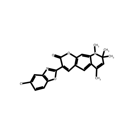 CC1=CC(C)(C)N(C)c2cc3oc(=O)c(-c4nc5cc(Cl)ccc5o4)cc3cc21